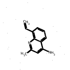 C=Cc1cccc2c(N)cc(C)nc12